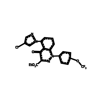 CCOC(=O)c1nn(-c2ccc(OC(F)(F)F)cc2)c2cccc(-n3cc(Cl)cn3)c2c1=O